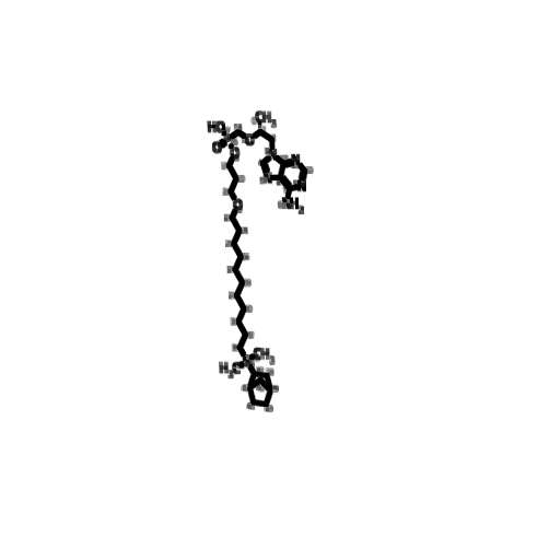 C[C@H](Cn1cnc2c(N)ncnc21)OCP(=O)(O)OCCCOCCCCCCCCCCC[Si](C)(C)C1CC2CCC1C2